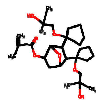 C=C(C)C(=O)OC1CC2OC1C(C1(OCC(C)(O)C(F)(F)F)CCCC1)C2C1(OCC(C)(O)C(F)(F)F)CCCC1